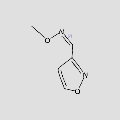 CO/N=C\c1ccon1